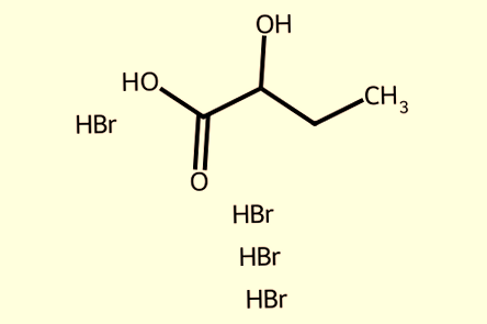 Br.Br.Br.Br.CCC(O)C(=O)O